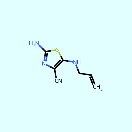 C=CCNc1sc(N)nc1C#N